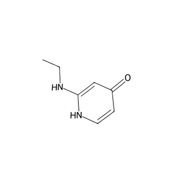 CCNc1cc(=O)cc[nH]1